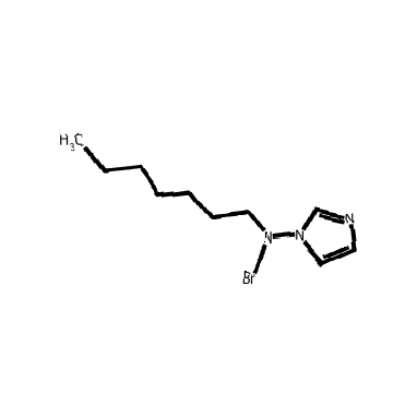 CCCCCCCN(Br)n1ccnc1